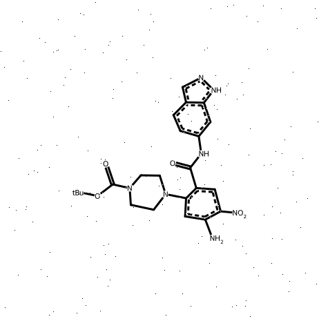 CC(C)(C)OC(=O)N1CCN(c2cc(N)c([N+](=O)[O-])cc2C(=O)Nc2ccc3cn[nH]c3c2)CC1